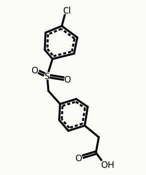 O=C(O)Cc1ccc(CS(=O)(=O)c2ccc(Cl)cc2)cc1